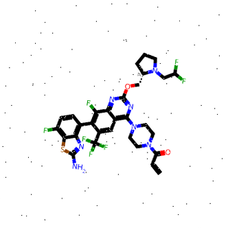 C=CC(=O)N1CCN(c2nc(OC[C@@H]3CCCN3CC(F)F)nc3c(F)c(-c4ccc(F)c5sc(N)nc45)c(C(F)(F)F)cc23)CC1